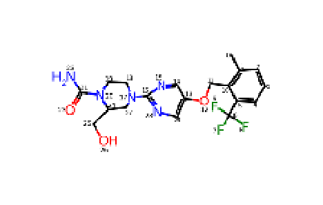 Cc1cccc(C(F)(F)F)c1COc1cnc(N2CCN(C(N)=O)C(CO)C2)nc1